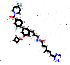 C=N\C(N)=C/C=C(C)/C=C/C(=O)NCc1cc2cc(-c3ccc(C(=O)N4CCC(F)(F)CC4)cc3F)cc(OC3CCC3)c2o1